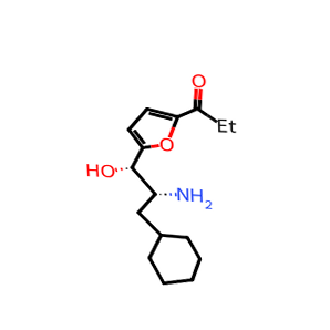 CCC(=O)c1ccc([C@@H](O)[C@H](N)CC2CCCCC2)o1